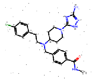 CNC(=O)c1ccc(CN(CCc2ccc(Br)cc2)C2CCN(c3nc(N)n[nH]3)CC2)cc1